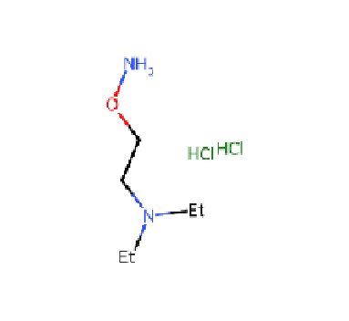 CCN(CC)CCON.Cl.Cl